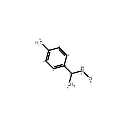 Cc1ccc(C(C)NCl)cc1